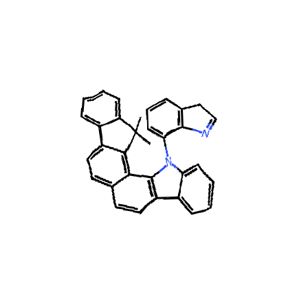 CC1(C)c2ccccc2-c2ccc3ccc4c5ccccc5n(-c5cccc6c5N=CC6)c4c3c21